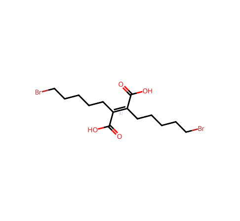 O=C(O)/C(CCCCCBr)=C(\CCCCCBr)C(=O)O